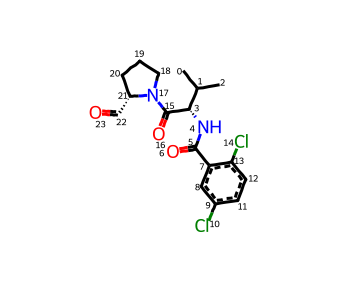 CC(C)[C@H](NC(=O)c1cc(Cl)ccc1Cl)C(=O)N1CCC[C@H]1C=O